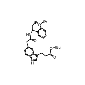 CC(C)CC(NC(=O)Cc1ccc2[nH]cc(CCC(=O)OC(C)(C)C)c2c1)c1ccccc1OC(C)C